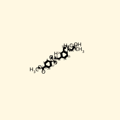 COC(=O)c1ccc(S(=O)(=O)NCc2ccc3c(cnn3CC(C)(C)O)c2)cc1